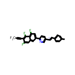 Cc1ccc(/C=C/c2ccc(-c3cc(F)c4c(F)c(C#CC(F)(F)F)c(F)cc4c3)nc2)cc1